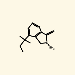 BN1Cc2c(cccc2C(C)(C)CC)C1=O